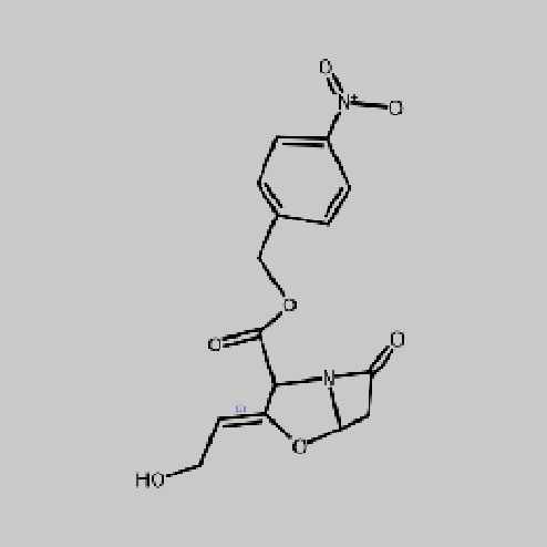 O=C(OCc1ccc([N+](=O)[O-])cc1)C1/C(=C/CO)OC2CC(=O)N21